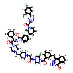 O=C(N[C@@H](C(=O)N1CCN(CC2CCN(CC(=O)N3CCN(C(=O)c4cc(Cc5n[nH]c(=O)c6ccccc56)ccc4F)CC3)CC2)CC1)C1CCCCC1)c1cccc([C@H]2CCCN(C(=O)CNCc3ccc(F)cc3F)C2)c1